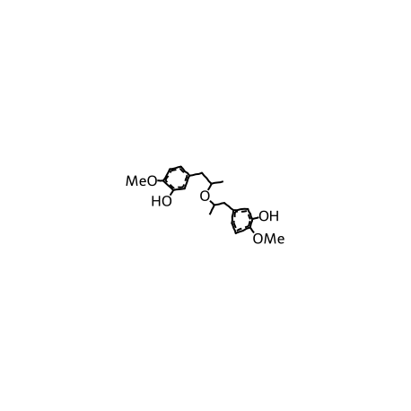 COc1ccc(CC(C)OC(C)Cc2ccc(OC)c(O)c2)cc1O